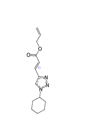 C=CCOC(=O)/C=C/c1cn(C2CCCCC2)nn1